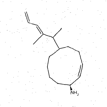 C=C/C=C(\C)C(C)C1CC/C=C\[C@@H](N)CCCC1